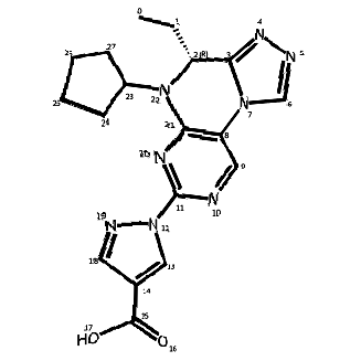 CC[C@@H]1c2nncn2-c2cnc(-n3cc(C(=O)O)cn3)nc2N1C1CCCC1